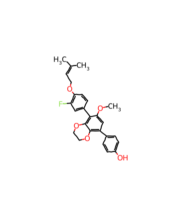 COc1cc(-c2ccc(O)cc2)c2c(c1-c1ccc(OCC=C(C)C)c(F)c1)OCCO2